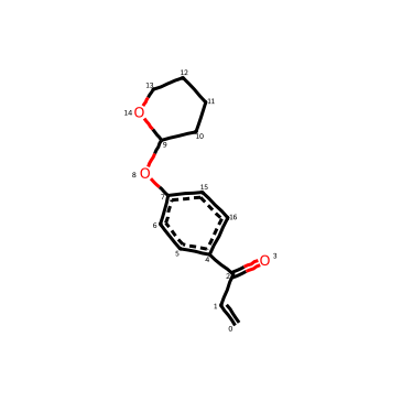 C=CC(=O)c1ccc(OC2CCCCO2)cc1